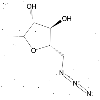 CC1O[C@@H](CN=[N+]=[N-])[C@H](O)[C@H]1O